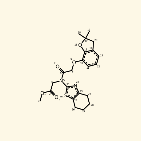 COC(=O)CN(C(=O)COc1cccc2c1OC(C)(C)C2)c1nc2c(s1)CCCC2